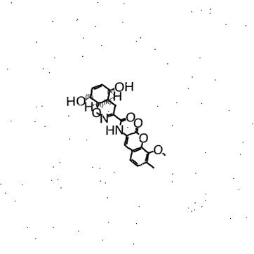 COc1c(C)ccc2cc(NC(=O)C3=NO[C@@H]4[C@H](C3)[C@H](O)C=C[C@H]4O)c(=O)oc12